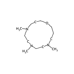 CN1CCCOCCCN(C)CCN(C)CC1